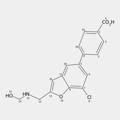 O=C(O)c1ccc(-c2cc(Cl)c3oc(CNCO)cc3c2)cc1